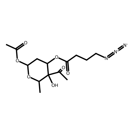 CC(=O)OC1CC(OC(=O)CCCN=[N+]=[N-])C(O)(C(C)=O)C(C)O1